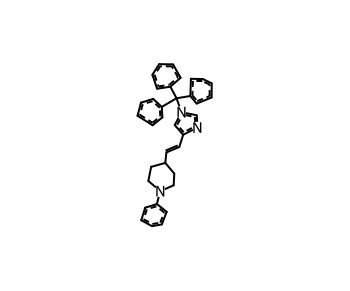 C(=C\C1CCN(c2ccccc2)CC1)/c1cn(C(c2ccccc2)(c2ccccc2)c2ccccc2)cn1